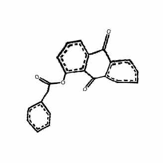 O=C(Oc1cccc2c1C(=O)c1ccccc1C2=O)c1ccccc1